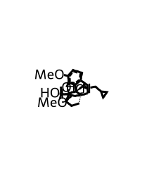 COc1ccc2c3c1O[C@H]1[C@@]4(OC)CC[C@@]5(C[C@@H]4C(C)(C)O)C(C2)N(CC2CC2)CC[C@]315